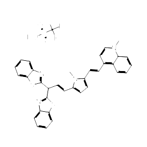 CN1C=CC(C=Cc2ccc(C=CC(c3nc4ccccc4s3)c3nc4ccccc4s3)n2C)=C2C=CC=CC21.O=S(=O)(O)C(F)(F)F